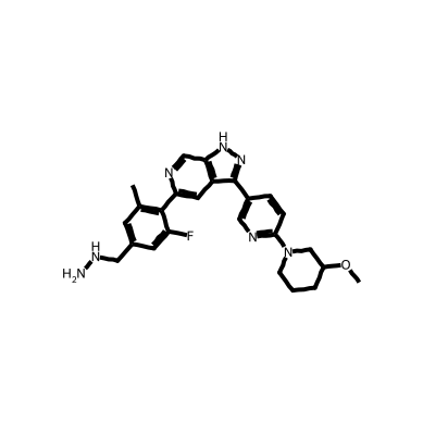 COC1CCCN(c2ccc(-c3n[nH]c4cnc(-c5c(C)cc(CNN)cc5F)cc34)cn2)C1